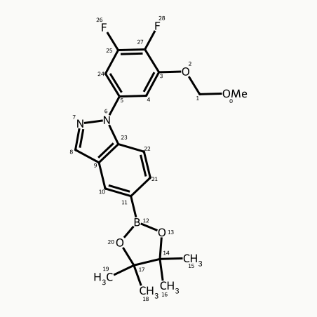 COCOc1cc(-n2ncc3cc(B4OC(C)(C)C(C)(C)O4)ccc32)cc(F)c1F